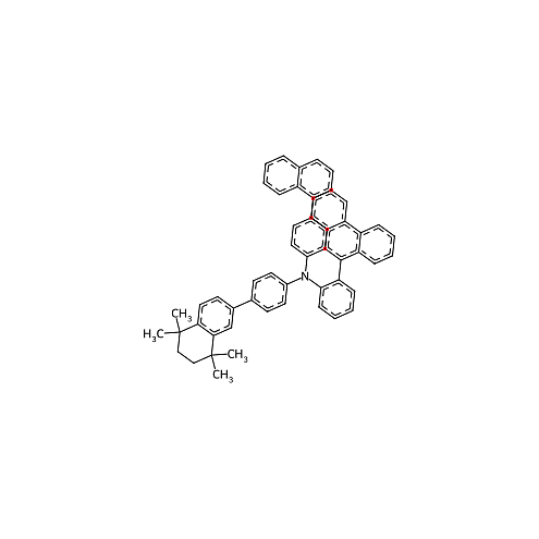 CC1(C)CCC(C)(C)c2cc(-c3ccc(N(c4ccc(-c5cccc6ccccc56)cc4)c4ccccc4-c4cc5ccccc5c5ccccc45)cc3)ccc21